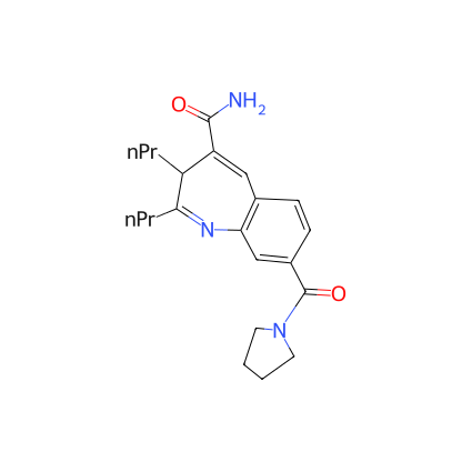 CCCC1=Nc2cc(C(=O)N3CCCC3)ccc2C=C(C(N)=O)C1CCC